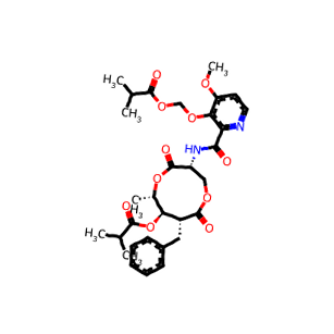 COc1ccnc(C(=O)N[C@@H]2COC(=O)[C@H](Cc3ccccc3)[C@@H](OC(=O)C(C)C)[C@H](C)OC2=O)c1OCOC(=O)C(C)C